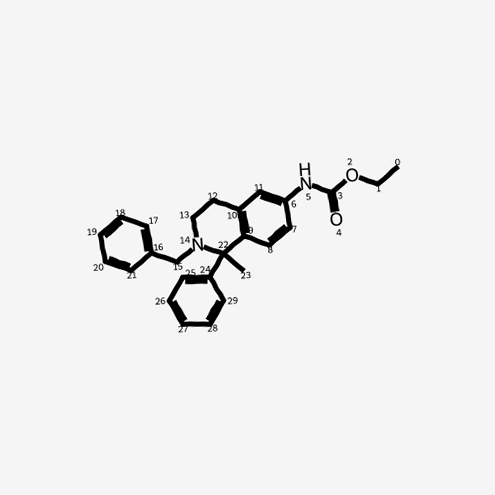 CCOC(=O)Nc1ccc2c(c1)CCN(Cc1ccccc1)C2(C)c1ccccc1